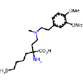 BCCCCC(N)(CCN(C)CCc1ccc(OC)c(OC)c1)C(=O)O